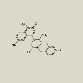 CC[C@@H]1CN(c2cc(=O)n(C)c3ccc(C#N)nc23)[C@@H](C)CN1Cc1ccc(F)cc1F